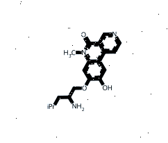 CC(C)CC(N)COc1cc2c(cc1O)c1ccncc1c(=O)n2C